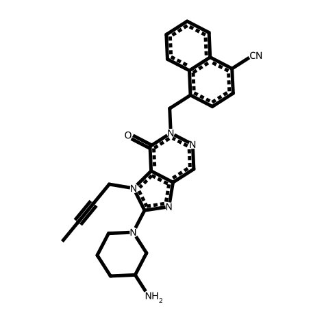 CC#CCn1c(N2CCCC(N)C2)nc2cnn(Cc3ccc(C#N)c4ccccc34)c(=O)c21